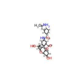 C[C@@H](N)Cc1cccc(C(=O)Nc2ccc3c(c2)C(=O)OC32c3ccc(O)cc3Oc3cc(O)ccc32)c1